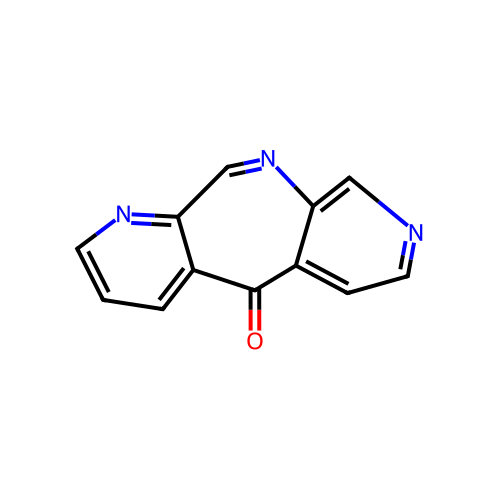 O=c1c2ccncc2ncc2ncccc12